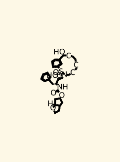 O=C(N[C@@H](Cc1ccccc1)[C@H](O)CN1CCCCCCCC(O)c2cccc(c2)S1(=O)=O)O[C@@H]1CC2CCO[C@@H]2C1